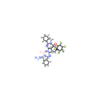 Bn1c(/N=C2\N=C(N)c3ccccc32)c2ccccc2c1/N=C1/c2ccccc2CN1COc1c(F)c(F)c(F)c(F)c1F